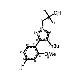 CCCCc1cn(CC(C)(C)O)nc1-c1ccc(F)cc1OC